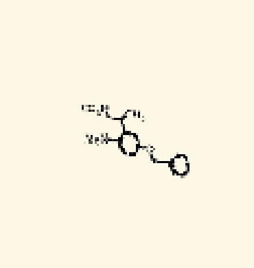 C=C(CC(=O)O)c1cc(OCc2ccccc2)ccc1NC